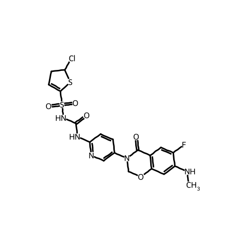 CNc1cc2c(cc1F)C(=O)N(c1ccc(NC(=O)NS(=O)(=O)C3=CCC(Cl)S3)nc1)CO2